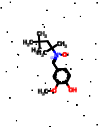 COc1cc(/C=[N+](\[O-])C(C)(C)CC(C)(C)C)ccc1O